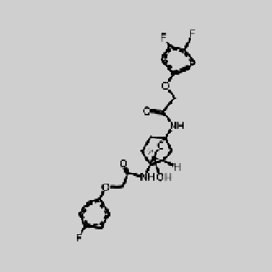 O=C(COc1ccc(F)c(F)c1)NC12CCC(NC(=O)COc3ccc(F)cc3)(CC1)[C@@H](O)C2